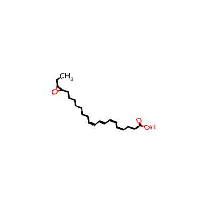 CCC1OC1CCCCCCC\C=C/C=C/C=C\C=C/C=C/C(=O)O